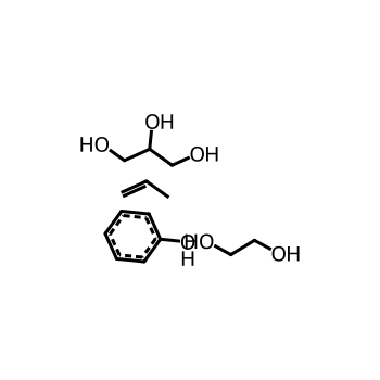 C=CC.OCC(O)CO.OCCO.Oc1ccccc1